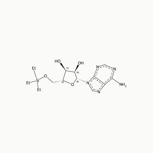 CC[Si](CC)(CC)OC[C@H]1O[C@@H](n2cnc3c(N)ncnc32)[C@H](O)[C@@H]1O